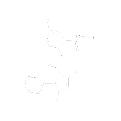 CNC(=O)c1cc(Cl)cc(C)c1NC(=O)c1c(Cl)cc(Cl)n1-c1ccccn1